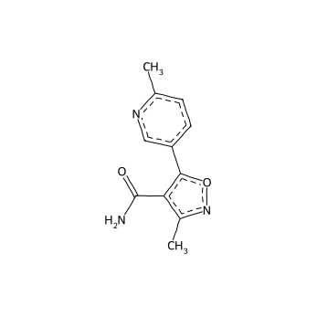 Cc1ccc(-c2onc(C)c2C(N)=O)cn1